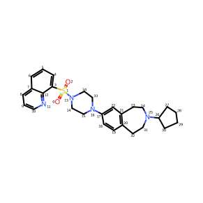 O=S(=O)(c1cccc2cccnc12)N1CCN(c2ccc3c(c2)CCN(C2CCCC2)CC3)CC1